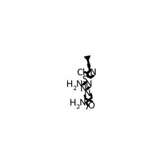 C[C@@H]1OCC2(CCN(c3cnc(Sc4ccnc(C#CC5CC5)c4Cl)c(N)n3)CC2)[C@@H]1N